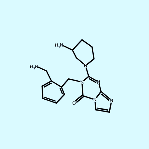 NCc1ccccc1Cn1c(N2CCCC(N)C2)nc2nccn2c1=O